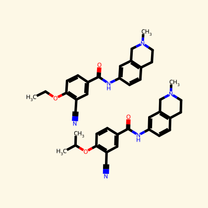 CC(C)Oc1ccc(C(=O)Nc2ccc3c(c2)CN(C)CC3)cc1C#N.CCOc1ccc(C(=O)Nc2ccc3c(c2)CN(C)CC3)cc1C#N